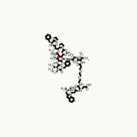 CC[C@H](C)[C@@H]([C@@H](CC(=O)N1CCC[C@H]1[C@H](OC)[C@@H](C)C(=O)N[C@@H](Cc1ccccc1)c1nccs1)OC)N(C)C(=O)[C@@H](NC(=O)[C@H](C(C)C)N(C)C(=O)OCc1ccc(NC(=O)[C@H](C)NC(=O)C(NC(=O)CCOCCOCCNC(=O)[C@H](CCC(=O)O)NC(=O)CCn2c(CN(C)NC)cc3ccccc32)C(C)C)cc1)C(C)C